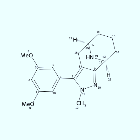 COc1cc(OC)cc(-c2c3c(nn2C)[C@@H]2CCC[C@H](C3)N2)c1